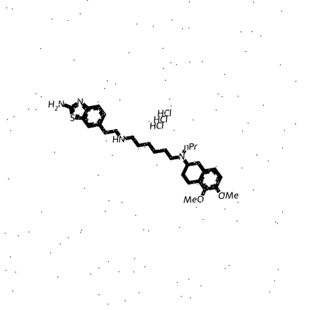 CCCN(CCCCCCNCCc1ccc2nc(N)sc2c1)C1CCc2c(ccc(OC)c2OC)C1.Cl.Cl.Cl